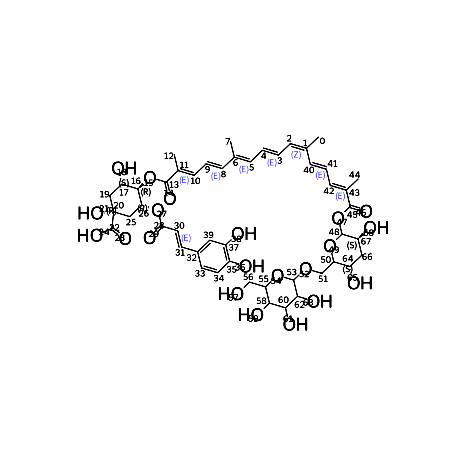 CC(=C/C=C/C=C(C)/C=C/C=C(\C)C(=O)O[C@@H]1[C@@H](O)C[C@](O)(C(=O)O)C[C@H]1OC(=O)/C=C/c1ccc(O)c(O)c1)/C=C/C=C(\C)C(=O)OC1OC(COC2OC(CO)C(O)C(O)C2O)[C@@H](O)C[C@@H]1O